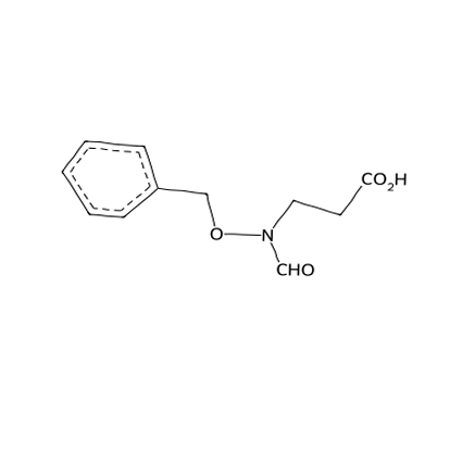 O=CN(CCC(=O)O)OCc1ccccc1